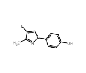 Cc1nn(-c2ccc(O)cc2)cc1I